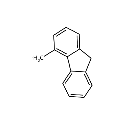 [CH2]c1cccc2c1-c1ccccc1C2